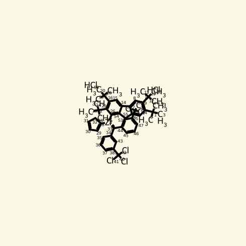 CC(C)(C)c1cc2c(cc1C(C)(C)C)-c1cc(C(C)(C)C)c(C(C)(C)C)[c]([Zr]([C]3=CC=CC3)=[C](c3cccc(C(Cl)(Cl)Cl)c3)c3cccc(C(Cl)(Cl)Cl)c3)c1C2.Cl.Cl